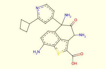 Nc1ccc2c3c(c(C(=O)O)sc13)C(N)C(=O)C2(N)c1ccnc(C2CCC2)c1